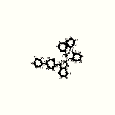 O=P1(c2ccccc2)N(c2ccccc2)c2ccccc2N1c1nc(-c2ccc(-c3ccccc3)cc2)c2ccccc2n1